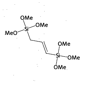 CO[Si](C=CC[Si](OC)(OC)OC)(OC)OC